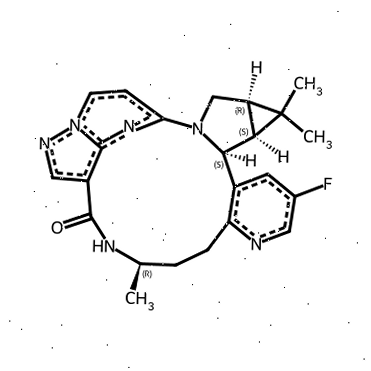 C[C@@H]1CCc2ncc(F)cc2[C@@H]2[C@H]3[C@@H](CN2c2ccn4ncc(c4n2)C(=O)N1)C3(C)C